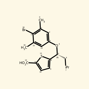 Cc1cc(O[C@H](CC(C)C)c2ccc(C(=O)O)s2)cc(C)c1Br